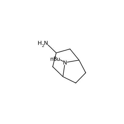 CCCCN1C2CCC1CC(N)C2